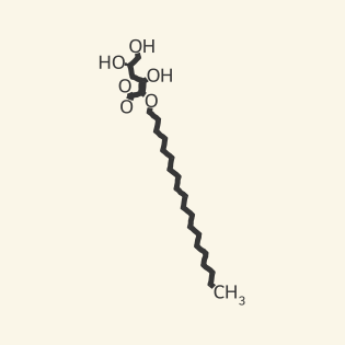 CCCCCCCCCCCCCCCCCCCCOC1=C(O)[C@@H]([C@@H](O)CO)OC1=O